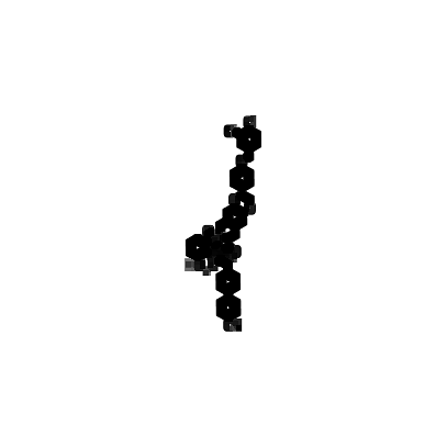 COc1ccccc1S(=O)(=O)N1Cc2cc3c(cc2C[C@H]1C(=O)NC(Cc1ccc(-c2ccc(C#N)cc2)cc1)C(=O)O)OC[C@H](c1ccc(OCc2ccc(Cl)c(Cl)c2)cc1)O3